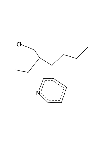 CCCCC(CC)CCl.c1ccncc1